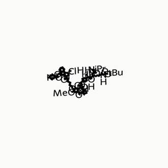 COc1cc2c(cc1OCCCCCC(=O)N1C[C@@H](CCl)c3c1cc(OC(=O)N1CCN(C)CC1)c1ccccc31)N(C(=O)OCc1ccc(NC(=O)[C@H](CCCCNC(=O)OC(C)(C)C)NC(=O)[C@@H](N)C(C)C)cc1)[C@@H](O)[C@@H]1CCCN1C2=O